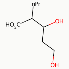 CCCC(C(=O)O)C(O)CCO